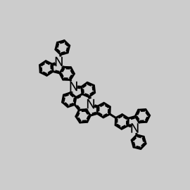 c1ccc(-n2c3ccccc3c3cc(-c4ccc5c(c4)c4cccc6c7cccc8c7c7c(cccc7n5c64)n8-c4ccc5c(c4)c4ccccc4n5-c4ccccc4)ccc32)cc1